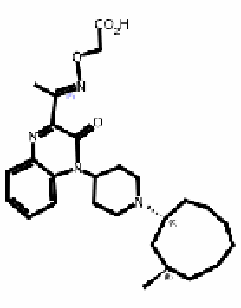 C/C(=N\OCC(=O)O)c1nc2ccccc2n(C2CCN([C@@H]3CCCCCC[C@@H](C)C3)CC2)c1=O